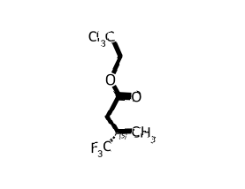 C[C@@H](CC(=O)OCC(Cl)(Cl)Cl)C(F)(F)F